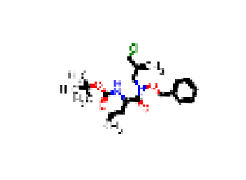 C=CCC(NC(=O)OC(C)(C)C)C(=O)N(CC(=C)CCl)OCc1ccccc1